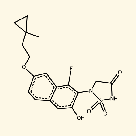 CC1(CCOc2ccc3cc(O)c(N4CC(=O)NS4(=O)=O)c(F)c3c2)CC1